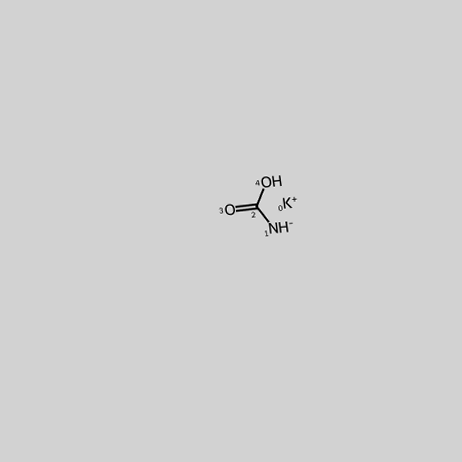 [K+].[NH-]C(=O)O